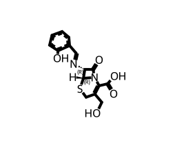 O=C(O)C1=C(CO)CS[C@@H]2[C@H](N=Cc3ccccc3O)C(=O)N12